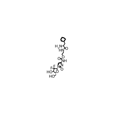 N[C@@H](Cc1ccccc1)C(=O)NCCOC(=O)Nc1ccn([C@@H]2O[C@H](CO)[C@@H](O)C2(F)F)c(=O)n1